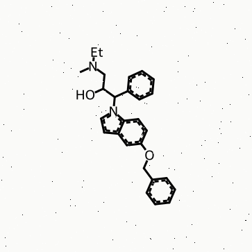 CCN(C)CC(O)C(c1ccccc1)n1ccc2cc(OCc3ccccc3)ccc21